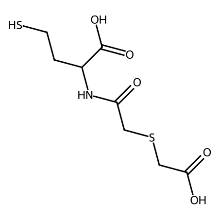 O=C(O)CSCC(=O)NC(CCS)C(=O)O